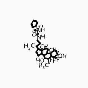 CC[C@@H]1[C@@H]2C(F)(F)[C@H](O)CC[C@]2(C)C2CC[C@@]3(C)C(CCC3[C@H](C)CCNC(=O)NS(=O)(=O)c3ccccc3)C2[C@@H]1O